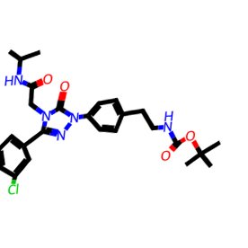 CC(C)NC(=O)Cn1c(-c2cccc(Cl)c2)nn(-c2ccc(CCNC(=O)OC(C)(C)C)cc2)c1=O